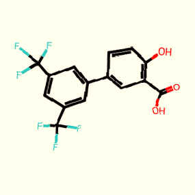 O=C(O)c1cc(-c2cc(C(F)(F)F)cc(C(F)(F)F)c2)ccc1O